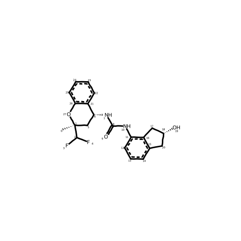 C[C@@]1(C(F)F)C[C@@H](NC(=O)Nc2cccc3c2C[C@H](O)C3)c2ccccc2O1